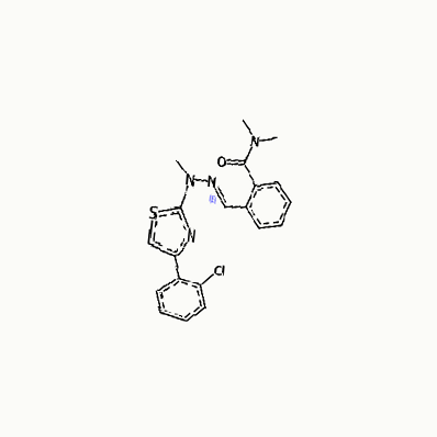 CN(C)C(=O)c1ccccc1/C=N/N(C)c1nc(-c2ccccc2Cl)cs1